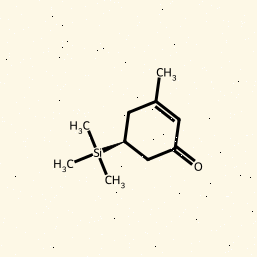 CC1=CC(=O)C[C@@H]([Si](C)(C)C)C1